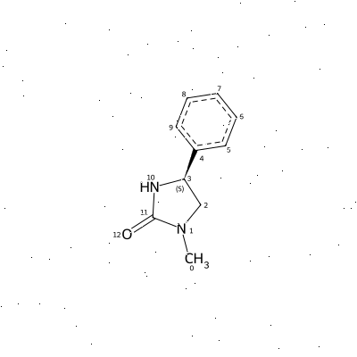 CN1C[C@H](c2ccccc2)NC1=O